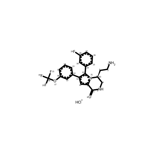 Cl.NCC[C@H]1CNC(=O)c2cc(-c3cccc(OC(F)(F)F)c3)c(-c3cccc(F)c3)n21